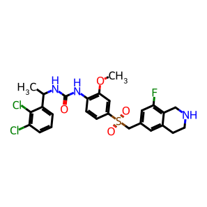 COc1cc(S(=O)(=O)Cc2cc(F)c3c(c2)CCNC3)ccc1NC(=O)NC(C)c1cccc(Cl)c1Cl